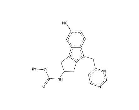 CC(C)OC(=O)NC1Cc2c(n(Cc3ccncn3)c3ccc(C#N)cc23)C1